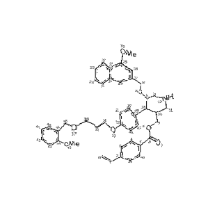 C=Cc1ccc(C(=O)OCC2CNCC(OCc3cc(OC)c4ccccc4c3)C2c2ccc(OCCCOCc3ccccc3OC)cc2)cc1